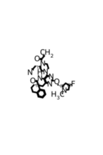 C=CC(=O)N1CCN(c2nc(OC[C@@H]3C[C@@H](F)CN3C)nc3c2NC(=O)[C@@]2(CCCc4ccccc42)C3)C[C@@H]1CC#N